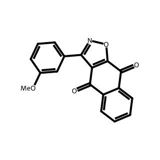 COc1cccc(-c2noc3c2C(=O)c2ccccc2C3=O)c1